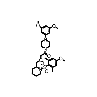 COc1cc(OC)cc(N2CCN(C(=O)COCC3CCCCN3S(=O)(=O)c3c(C)cc(OC)cc3C)CC2)c1